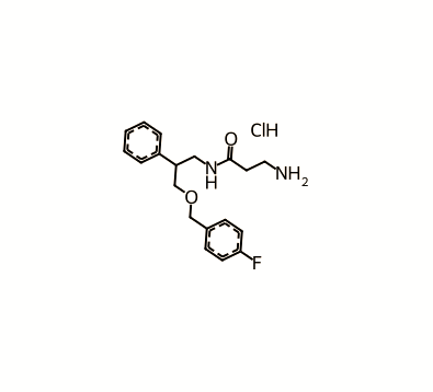 Cl.NCCC(=O)NCC(COCc1ccc(F)cc1)c1ccccc1